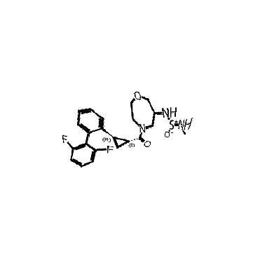 CN[S+]([O-])NC1COCCN(C(=O)[C@@H]2C[C@H]2c2ccccc2-c2c(F)cccc2F)C1